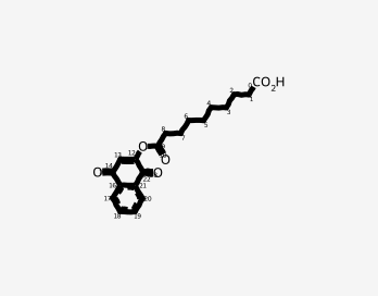 O=C(O)CCCCCCCCC(=O)OC1=CC(=O)c2ccccc2C1=O